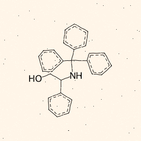 OCC(NC(c1ccccc1)(c1ccccc1)c1ccccc1)c1ccccc1